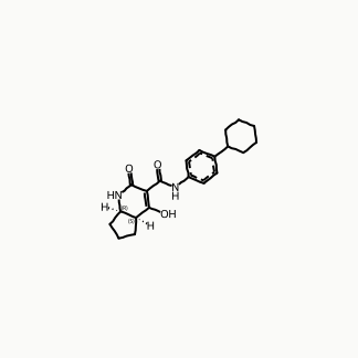 O=C(Nc1ccc(C2CCCCC2)cc1)C1=C(O)[C@H]2CCC[C@H]2NC1=O